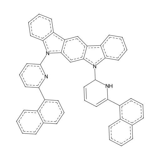 C1=CC(n2c3ccccc3c3cc4c5ccccc5n(-c5cccc(-c6cccc7ccccc67)n5)c4cc32)NC(c2cccc3ccccc23)=C1